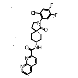 O=C(N[C@H]1CC[C@@]2(CCN(c3cc(F)c(F)cc3Cl)C2=O)CC1)c1ccc2cccnc2n1